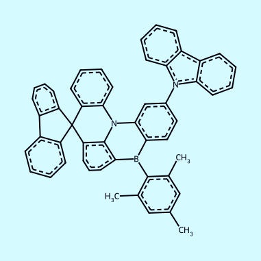 Cc1cc(C)c(B2c3ccc(-n4c5ccccc5c5ccccc54)cc3N3c4ccccc4C4(c5ccccc5-c5ccccc54)c4cccc2c43)c(C)c1